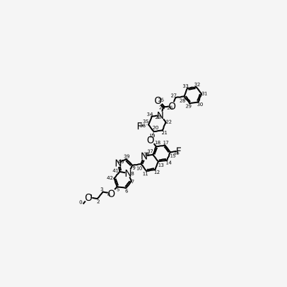 COCCOc1ccn2c(-c3ccc4cc(F)cc(O[C@H]5CCN(C(=O)OCc6ccccc6)C[C@H]5F)c4n3)cnc2c1